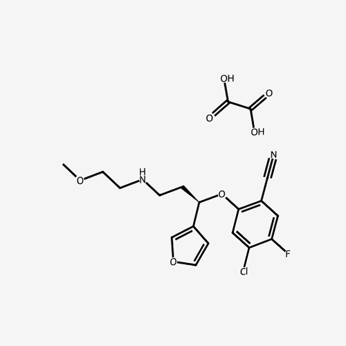 COCCNCC[C@@H](Oc1cc(Cl)c(F)cc1C#N)c1ccoc1.O=C(O)C(=O)O